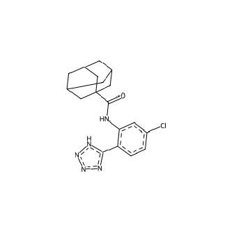 O=C(Nc1cc(Cl)ccc1-c1nnn[nH]1)C12CC3CC(CC(C3)C1)C2